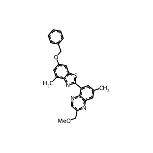 COCc1cnc2c(-c3nc4c(C)cc(OCc5ccccc5)cc4s3)cc(C)cc2n1